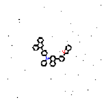 c1ccc(N(c2ccc(-c3cc4ccccc4c4ccccc34)cc2)c2ccc(-c3cccc(-c4cc5ccccc5o4)c3)c3ccccc23)cc1